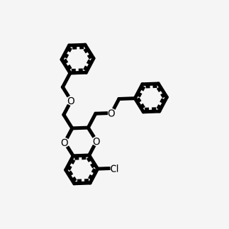 Clc1cccc2c1OC(COCc1ccccc1)C(COCc1ccccc1)O2